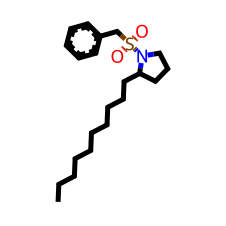 CCCCCCCCCCC1CCCN1S(=O)(=O)Cc1ccccc1